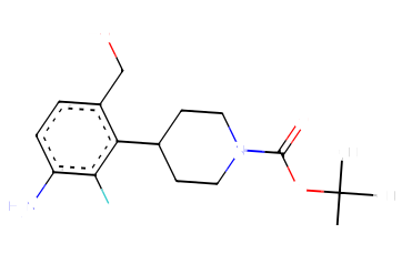 CC(C)(C)OC(=O)N1CCC(c2c(CO)ccc(N)c2F)CC1